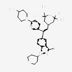 CC1(C)CC(C=C(c2ccc(N3CCC(C=O)CC3)nc2)c2ccc3c(c2)c(F)nn3C2CCOCC2)CC(C)(C)O1